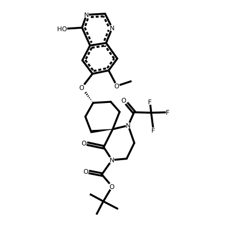 COc1cc2ncnc(O)c2cc1O[C@H]1CC[C@]2(CC1)C(=O)N(C(=O)OC(C)(C)C)CCN2C(=O)C(F)(F)F